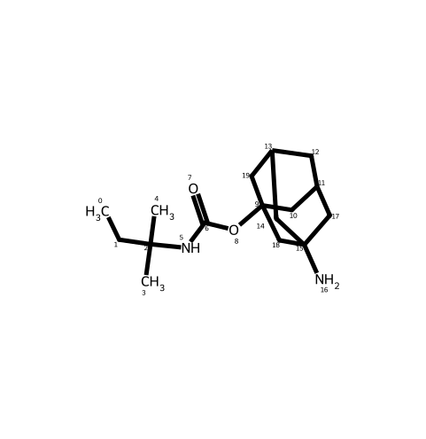 CCC(C)(C)NC(=O)OC12CC3CC(CC(N)(C3)C1)C2